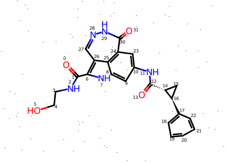 O=C(NCCO)c1[nH]c2cc(NC(=O)[C@@H]3C[C@H]3c3ccccc3)cc3c2c1C=NNC3=O